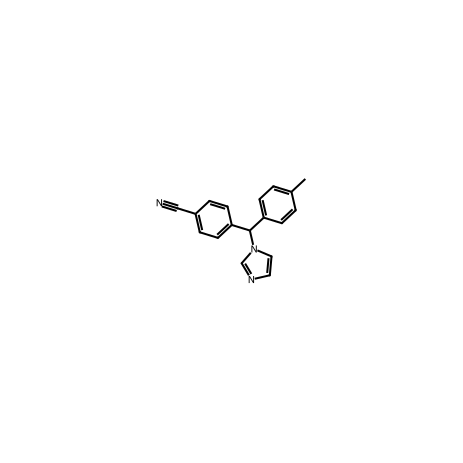 Cc1ccc(C(c2ccc(C#N)cc2)n2ccnc2)cc1